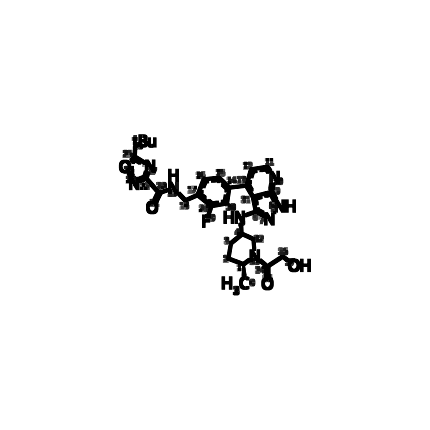 C[C@H]1CC[C@@H](Nc2n[nH]c3nccc(-c4ccc(CNC(=O)c5noc(C(C)(C)C)n5)c(F)c4)c23)CN1C(=O)CO